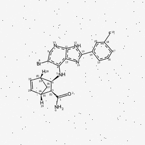 NC(=O)[C@@H]1[C@H](Nc2c(Br)cnc3[nH]c(-c4cccc(F)c4)nc23)[C@H]2C=C[C@@H]1C2